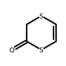 O=C1CSC=CS1